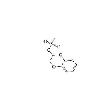 CS(=O)(=O)OC1COc2ccccc2O1